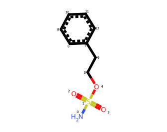 NS(=O)(=O)OCCc1ccccc1